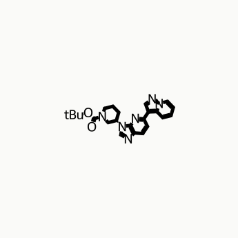 CC(C)(C)OC(=O)N1CCC[C@H](n2cnc3ccc(-c4cnn5ccccc45)nc32)C1